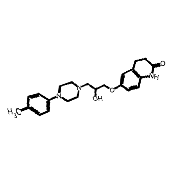 Cc1ccc(N2CCN(CC(O)COc3ccc4c(c3)CCC(=O)N4)CC2)cc1